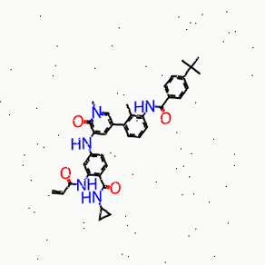 C=CC(=O)Nc1cc(Nc2cc(-c3cccc(NC(=O)c4ccc(C(C)(C)C)cc4)c3C)cn(C)c2=O)ccc1C(=O)NC1CC1